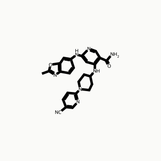 Cc1nc2ccc(Nc3cc(NC4CCN(c5ccc(C#N)cn5)CC4)c(C(N)=O)cn3)cc2o1